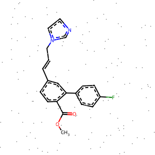 COC(=O)c1ccc(C=CCn2ccnc2)cc1-c1ccc(F)cc1